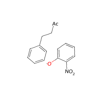 CC(=O)CCc1ccccc1.[O]c1ccccc1[N+](=O)[O-]